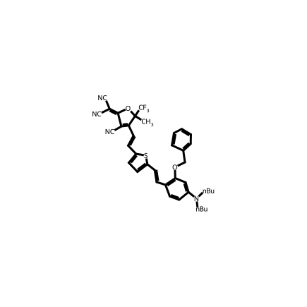 CCCCN(CCCC)c1ccc(C=Cc2ccc(C=CC3=C(C#N)C(=C(C#N)C#N)OC3(C)C(F)(F)F)s2)c(OCc2ccccc2)c1